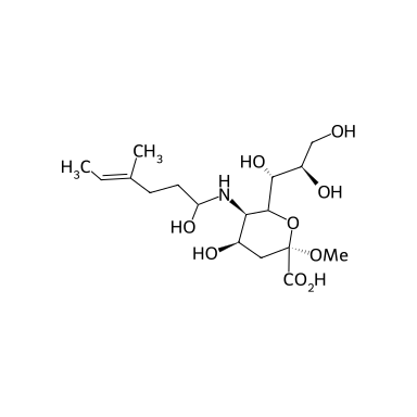 C/C=C(\C)CCC(O)N[C@H]1C([C@H](O)[C@H](O)CO)O[C@@](OC)(C(=O)O)C[C@H]1O